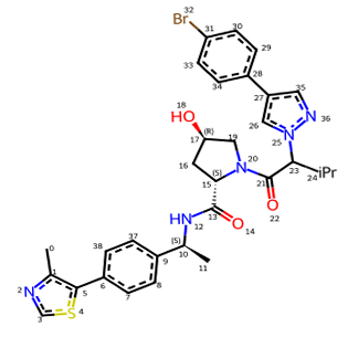 Cc1ncsc1-c1ccc([C@H](C)NC(=O)[C@@H]2C[C@@H](O)CN2C(=O)C(C(C)C)n2cc(-c3ccc(Br)cc3)cn2)cc1